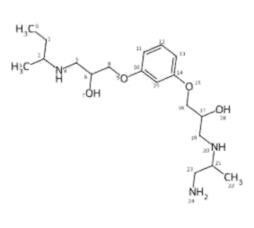 CCC(C)NCC(O)COc1cccc(OCC(O)CNC(C)CN)c1